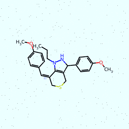 CCCN1NC(c2ccc(OC)cc2)C2=C1/C(=C\c1ccc(OC)cc1)CSC2